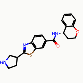 O=C(N[C@H]1CCOc2ccccc21)c1ccc2nc(C3CCNC3)sc2c1